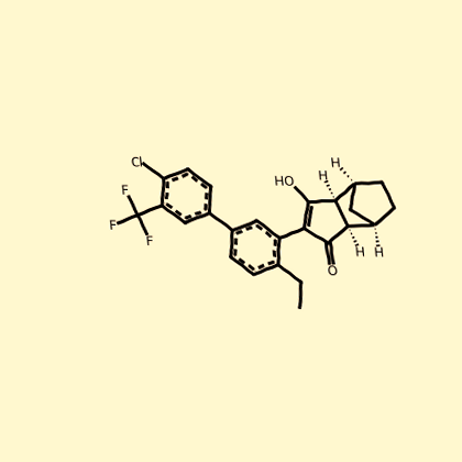 CCc1ccc(-c2ccc(Cl)c(C(F)(F)F)c2)cc1C1=C(O)[C@H]2[C@H]3CC[C@H](C3)[C@H]2C1=O